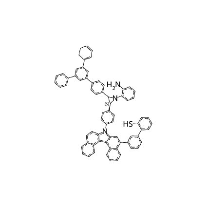 Nc1ccccc1N1C(c2ccc(-c3cc(C4=CC=CCC4)cc(-c4ccccc4)c3)cc2)[C@@H]1c1ccc(-n2c3ccc4ccccc4c3c3c4ccccc4c(-c4cccc(-c5ccccc5S)c4)cc32)cc1